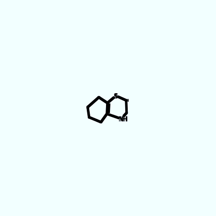 [C]1CNC2=C(CCCC2)S1